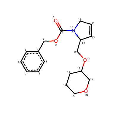 O=C(OCc1ccccc1)N1CC=CC1COC1CCCOC1